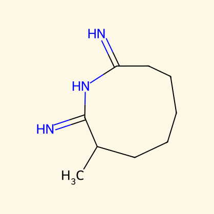 CC1CCCCCC(=N)NC1=N